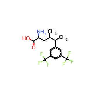 CC(CC(N)C(=O)O)C(C)c1cc(C(F)(F)F)cc(C(F)(F)F)c1